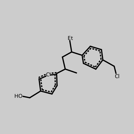 CCC(CC(C)c1ccc(CO)cc1)c1ccc(CCl)cc1